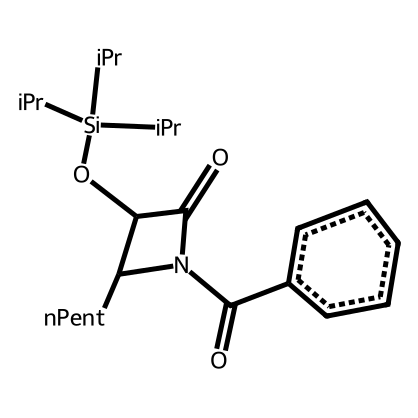 CCCCCC1C(O[Si](C(C)C)(C(C)C)C(C)C)C(=O)N1C(=O)c1ccccc1